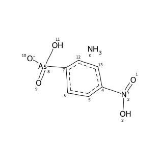 N.O=[N+](O)c1ccc([As](=O)([O-])O)cc1